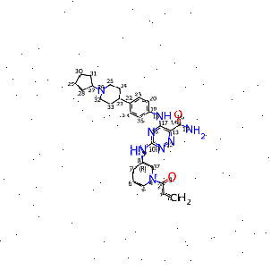 C=CC(=O)N1CCC[C@@H](Nc2nnc(C(N)=O)c(Nc3ccc(C4CCN(C5CCCC5)CC4)cc3)n2)C1